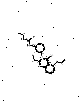 C=CCc1cccc2nc(CC)n(-c3cccc(NC(=O)NCC)c3)c(=O)c12